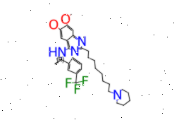 COc1cc2nc(CCCCCCCCN3CCCCC3)nc(N[C@H](C)c3cccc(C(F)(F)F)c3)c2cc1OC